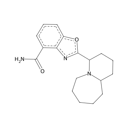 NC(=O)c1cccc2oc(C3CCCC4CCCCCN43)nc12